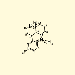 CN(c1ccc(F)cc1)[C@@H]1CCC[C@H]2OCCCC12